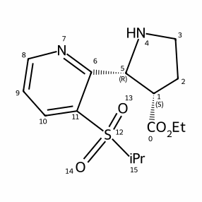 CCOC(=O)[C@H]1CCN[C@H]1c1ncccc1S(=O)(=O)C(C)C